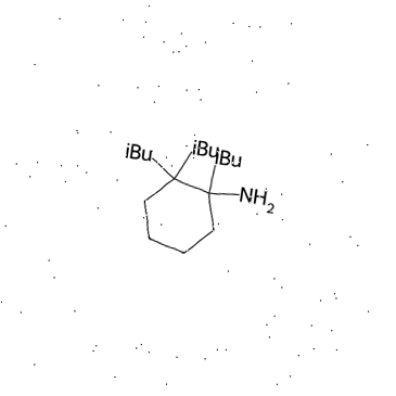 CCC(C)C1(N)CCCCC1(C(C)CC)C(C)CC